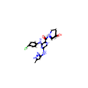 Cc1cc(Nc2cnc(C(=O)N3CCC(O)C3)c(Nc3ccc(Cl)cc3)n2)n[nH]1